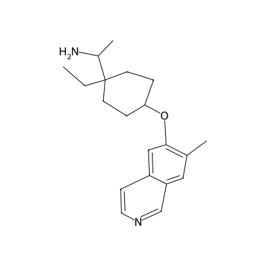 CCC1(C(C)N)CCC(Oc2cc3ccncc3cc2C)CC1